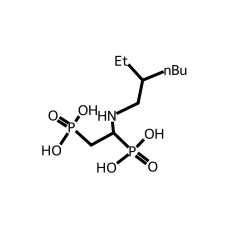 CCCCC(CC)CNC(CP(=O)(O)O)P(=O)(O)O